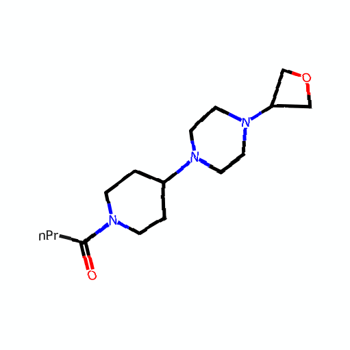 CCCC(=O)N1CCC(N2CCN(C3COC3)CC2)CC1